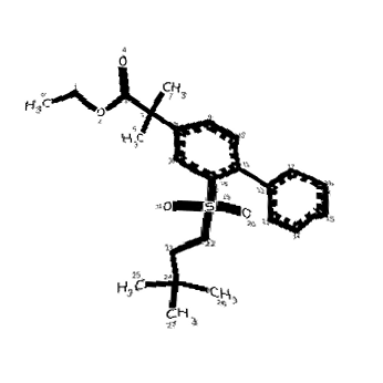 CCOC(=O)C(C)(C)c1ccc(-c2ccccc2)c(S(=O)(=O)CCC(C)(C)C)c1